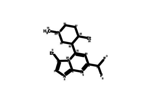 CCc1cnc2nc(C(F)F)cc(C3CN(C)CCC3CC)n12